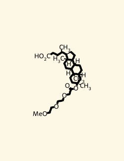 COCCOCCOCC(=O)O[C@@]1(C)CC[C@@]2(C)[C@H](CC[C@@H]3[C@@H]2CC[C@]2(C)[C@@H]([C@H](C)CCC(=O)O)CC[C@@H]32)C1